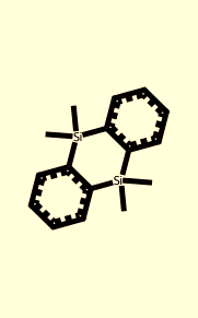 C[Si]1(C)c2ccccc2[Si](C)(C)c2ccccc21